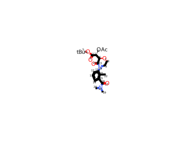 CC(=O)O[C@@H](C(=O)OC(C)(C)C)[C@H]1OCCN(c2cccc(C(=O)N(C)C)c2C)C1=O